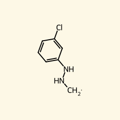 [CH2]NNc1cccc(Cl)c1